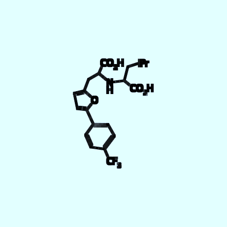 CC(C)CC(NC(Cc1ccc(-c2ccc(C(F)(F)F)cc2)o1)C(=O)O)C(=O)O